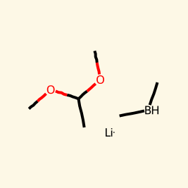 CBC.COC(C)OC.[Li]